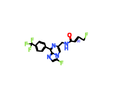 O=C(/C=C/CF)NCc1cn2c(F)cnc2c(-c2ccc(C(F)(F)F)cc2)n1